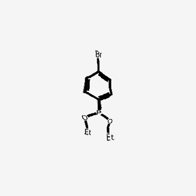 CCOP(OCC)c1ccc(Br)cc1